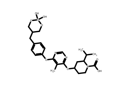 Cc1c(Oc2ccc(CC3COS(O)(O)OC3)cc2)ncnc1OC1CCN(C(=O)O)C(C(C)C)C1